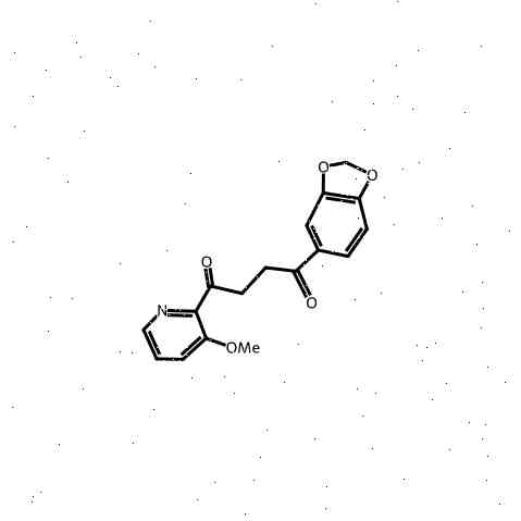 COc1cccnc1C(=O)CCC(=O)c1ccc2c(c1)OCO2